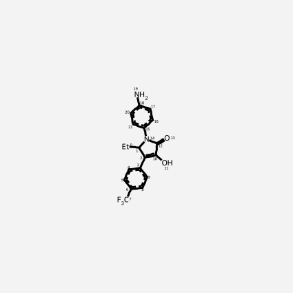 CCC1C(c2ccc(C(F)(F)F)cc2)=C(O)C(=O)N1c1ccc(N)cc1